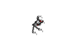 COCCOCCOCCN(CCOCCOCCOC)c1nccc(COc2ccc3cc2C[C@H](C(=O)O)Oc2ncnc4sc(-c5ccc(F)cc5)c(c24)-c2c(C)c(Cl)c(c(Cl)c2C)O[C@H](CN2CCN(C)CC2)CC3)n1